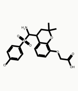 CC1(C)CC(C(N)S(=O)(=O)c2ccc(Cl)cc2)c2cccc(OCC(=O)O)c2O1